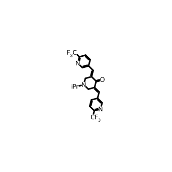 CC(C)N1C/C(=C\c2ccc(C(F)(F)F)nc2)C(=O)/C(=C/c2ccc(C(F)(F)F)nc2)C1